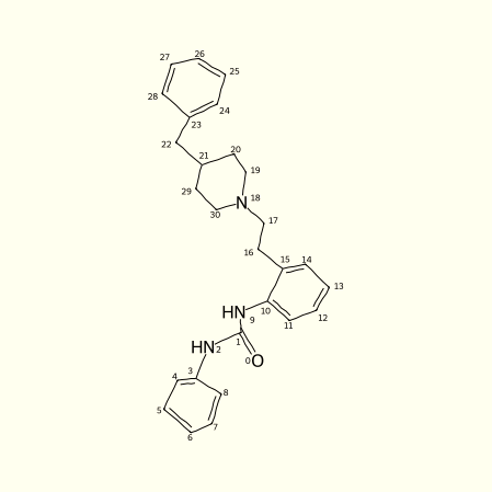 O=C(Nc1ccccc1)Nc1ccccc1CCN1CCC(Cc2ccccc2)CC1